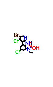 CCN(C(=O)O)c1cc(Cl)cc2c1[nH]c1ncc(Br)c(Cl)c12